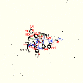 CN[C@H](CC(C)C)C(=O)N[C@H]1C(=O)N[C@@H](CC(N)=O)C(=O)N[C@H]2C(=O)N[C@H]3C(=O)N[C@H](C(=O)N[C@@H](C(=O)NOCC(N)=O)c4cc(O)cc(O)c4-c4cc3ccc4O)[C@H](O)c3ccc(c(Cl)c3)Oc3cc2cc(c3O[C@@H]2O[C@H](CO)[C@@H](O)[C@H](O)[C@H]2O[C@H]2C[C@](C)(NCc3cncc(NC(=O)c4ccc(OC(F)(F)F)cc4)c3)[C@H](O)[C@H](C)O2)Oc2ccc(cc2Cl)[C@H]1O